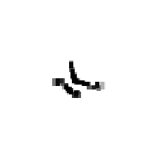 CCCO.O=C(O)CI